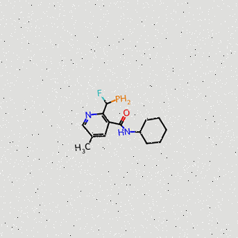 Cc1cnc(C(F)P)c(C(=O)NC2CCCCC2)c1